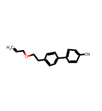 C=CCOCCc1ccc(-c2ccc(C#N)cc2)cc1